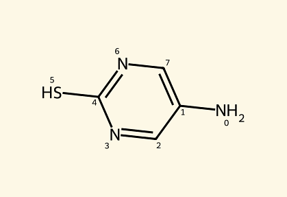 Nc1cnc(S)nc1